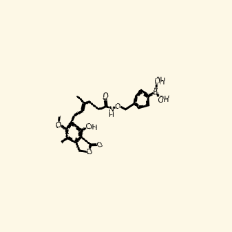 COc1c(C)c2c(c(O)c1C/C=C(\C)CCC(=O)NOCc1ccc(B(O)O)cc1)C(=O)OC2